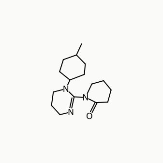 CC1CCC(N2CCCN=C2N2CCCCC2=O)CC1